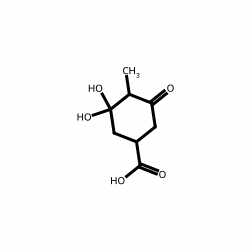 CC1C(=O)CC(C(=O)O)CC1(O)O